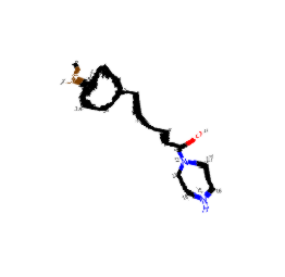 CSc1ccc(/C=C/C=C/C(=O)N2CCNCC2)cc1